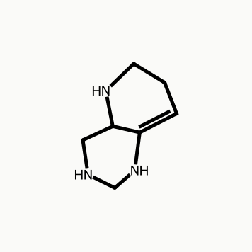 C1=C2NCNCC2NCC1